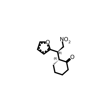 O=C1CCCC[C@@H]1[C@H](C[N+](=O)[O-])c1ccco1